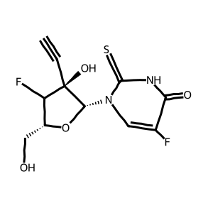 C#C[C@@]1(O)C(F)[C@@H](CO)O[C@H]1n1cc(F)c(=O)[nH]c1=S